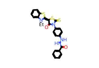 CCN1C(=C2SC(=S)N(c3ccc(NNC(=O)c4ccccc4)cc3)C2=O)Sc2ccccc21